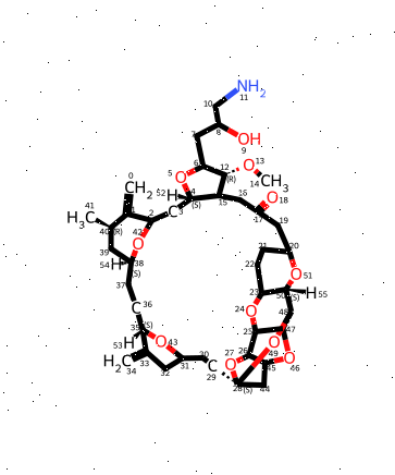 C=C1C2C[C@@H]3OC(CC(O)CN)[C@H](OC)C3CC(=O)CC3CCC4OC5C6O[C@]7(CCC8CC(=C)[C@H](CC[C@@H](C[C@H]1C)O2)O8)CC6OC5C(O7)[C@H]4O3